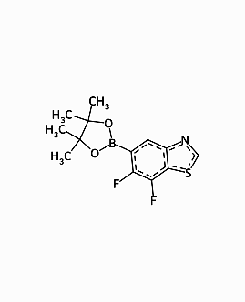 CC1(C)OB(c2cc3ncsc3c(F)c2F)OC1(C)C